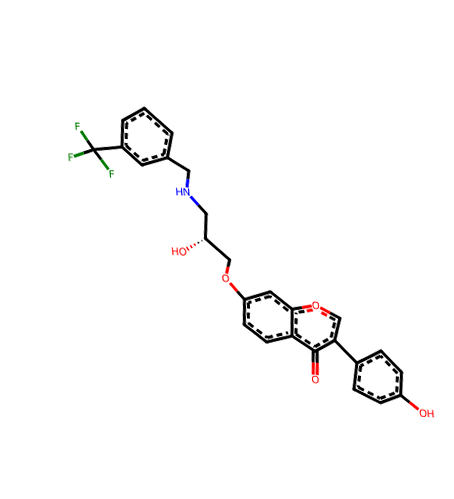 O=c1c(-c2ccc(O)cc2)coc2cc(OC[C@H](O)CNCc3cccc(C(F)(F)F)c3)ccc12